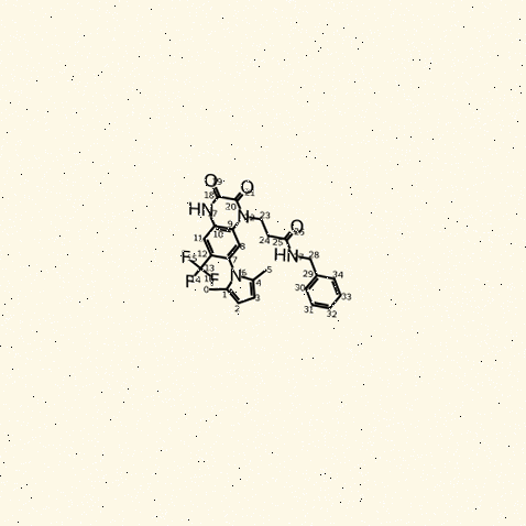 Cc1ccc(C)n1-c1cc2c(cc1C(F)(F)F)[nH]c(=O)c(=O)n2CCC(=O)NCc1ccccc1